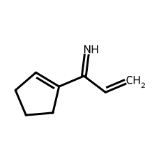 C=CC(=N)C1=CCCC1